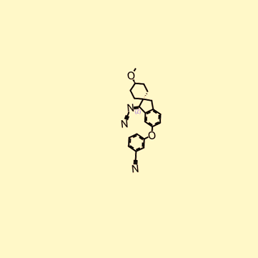 CO[C@H]1CC[C@]2(CC1)Cc1ccc(Oc3cccc(C#N)c3)cc1/C2=N\C#N